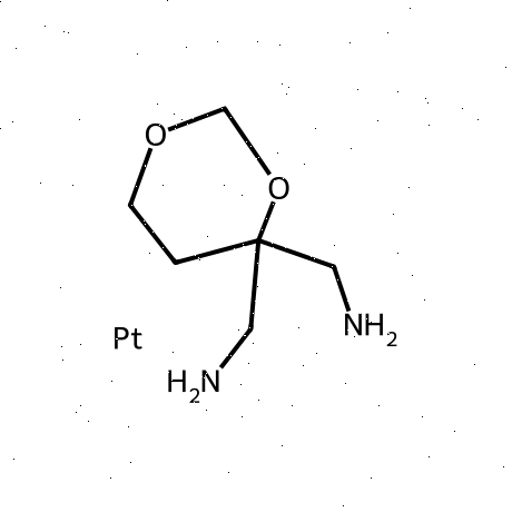 NCC1(CN)CCOCO1.[Pt]